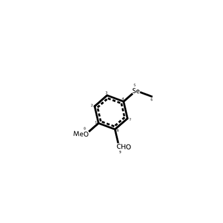 COc1ccc([Se]C)cc1C=O